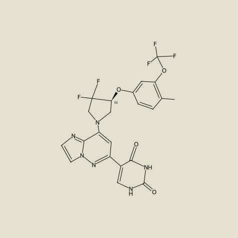 Cc1ccc(O[C@H]2CN(c3cc(-c4c[nH]c(=O)[nH]c4=O)nn4ccnc34)CC2(F)F)cc1OC(F)(F)F